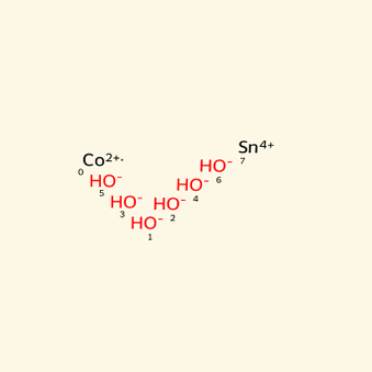 [Co+2].[OH-].[OH-].[OH-].[OH-].[OH-].[OH-].[Sn+4]